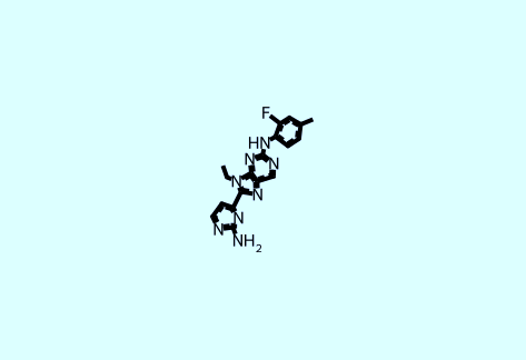 CCn1c(-c2ccnc(N)n2)nc2cnc(Nc3ccc(C)cc3F)nc21